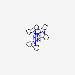 C1=Cc2c(c3ccccc3n2-c2nc(-c3ccccc3-n3c4ccccc4c4ccccc43)nc(-n3c4ccccc4c4ccccc43)n2)CC1